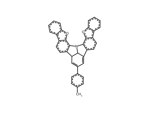 Cc1ccc(C2=CC3c4ccc5c(oc6ccccc65)c4N4c5c(ccc6c5oc5ccccc56)C(=C2)C34)cc1